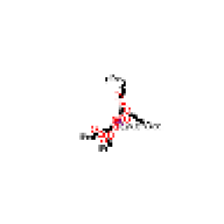 CCCCCCCCCCCCCC(=O)OC[C@H](COP(=O)(OC)OCC(COC(=O)CC(C)C)OC(=O)CC(C)C)OC(=O)CCCCCCCCCCCCC